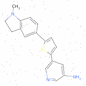 CN1CCc2cc(-c3ccc(-c4cncc(N)c4)s3)ccc21